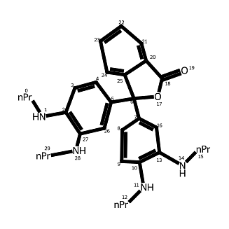 CCCNc1ccc(C2(c3ccc(NCCC)c(NCCC)c3)OC(=O)c3ccccc32)cc1NCCC